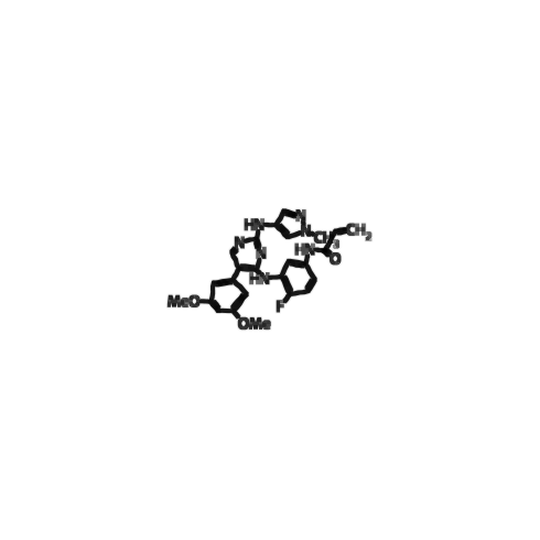 C=CC(=O)Nc1ccc(F)c(Nc2nc(Nc3cnn(C)c3)ncc2-c2cc(OC)cc(OC)c2)c1